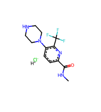 CNC(=O)c1ccc(N2CCNCC2)c(C(F)(F)F)n1.[Cl-].[H+]